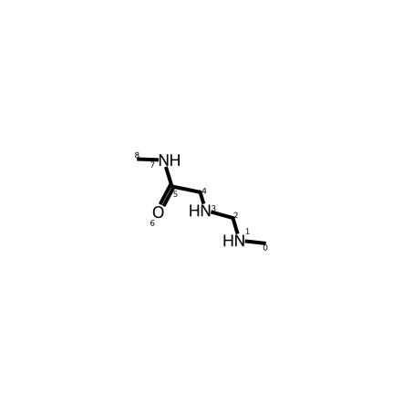 CNCNCC(=O)NC